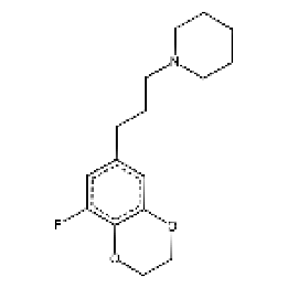 Fc1cc(CCCN2CCCCC2)cc2c1OCCO2